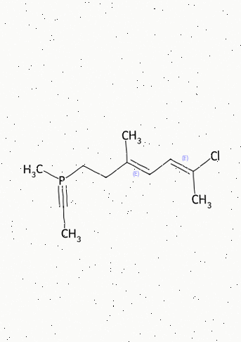 CC#P(C)CC/C(C)=C/C=C(\C)Cl